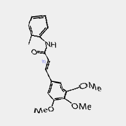 COc1cc(/C=C/C(=O)Nc2ccccc2C)cc(OC)c1OC